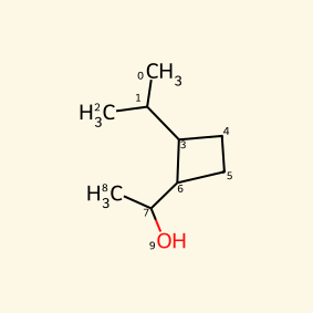 CC(C)C1CCC1C(C)O